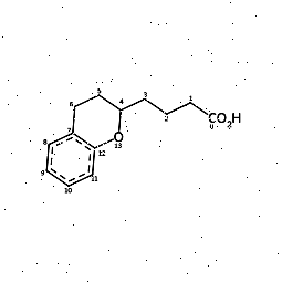 O=C(O)CCCC1CCc2ccccc2O1